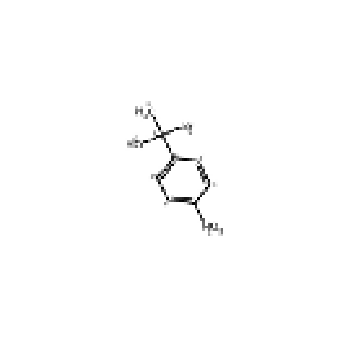 CC(O)(Br)c1ccc([N+](=O)[O-])cc1